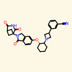 N#Cc1cccc(C2CN(C3CCCC[C@@H]3Oc3ccc4c(c3)CN(C35CC(C3)C(=O)NC5=O)C4=O)C2)c1